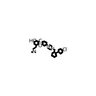 CN(C)CCc1ccccc1Oc1cc(N2CCN(Cc3ccccc3-c3ccc(Cl)cc3)CC2)ccc1C(=O)O